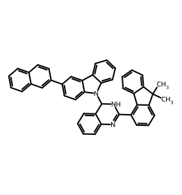 CC1(C)c2ccccc2-c2c(C3=Nc4ccccc4C(n4c5ccccc5c5cc(-c6ccc7ccccc7c6)ccc54)N3)cccc21